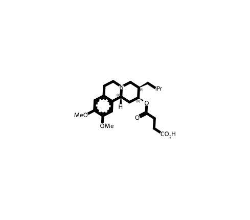 COc1cc2c(cc1OC)[C@H]1C[C@@H](OC(=O)CCC(=O)O)[C@H](CC(C)C)CN1CC2